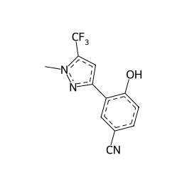 Cn1nc(-c2cc(C#N)ccc2O)cc1C(F)(F)F